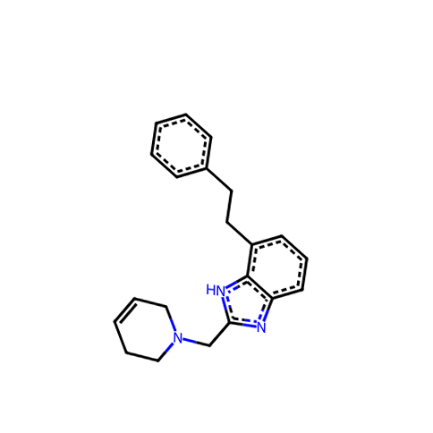 C1=CCN(Cc2nc3cccc(CCc4ccccc4)c3[nH]2)CC1